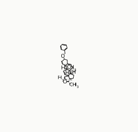 CC(=O)[C@H]1CC[C@H]2[C@@H]3CC=C4CC(OCc5ccccc5)CC[C@]4(C)[C@H]3CC[C@]12C